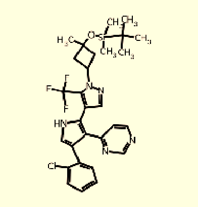 CC1(O[Si](C)(C)C(C)(C)C)CC(n2ncc(-c3[nH]cc(-c4ccccc4Cl)c3-c3ccncn3)c2C(F)(F)F)C1